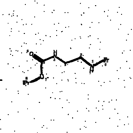 CC(C)NCCNC(=O)OC(C)C